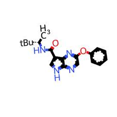 C[C@H](NC(=O)c1c[nH]c2ncc(Oc3ccccc3)nc12)C(C)(C)C